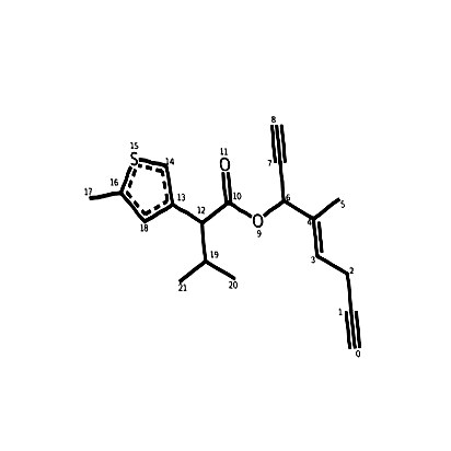 C#CCC=C(C)C(C#C)OC(=O)C(c1csc(C)c1)C(C)C